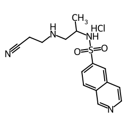 CC(CNCCC#N)NS(=O)(=O)c1ccc2cnccc2c1.Cl